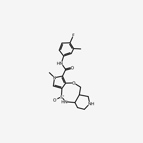 Cc1cc(NC(=O)c2c3c(cn2C)[S+]([O-])NC2CCNCC2CO3)ccc1F